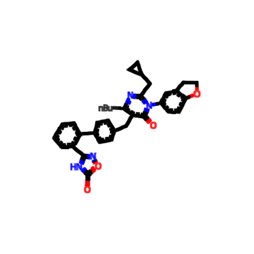 CCCCc1nc(CC2CC2)n(-c2ccc3c(c2)CCO3)c(=O)c1Cc1ccc(-c2ccccc2-c2noc(=O)[nH]2)cc1